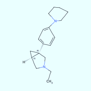 CCN1C[C@H]2C[C@@]2(c2ccc(N3CCCCC3)cc2)C1